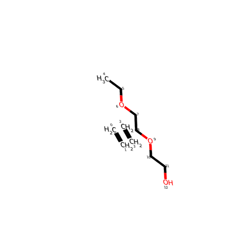 C=C.C=C.CCOCCOCCO